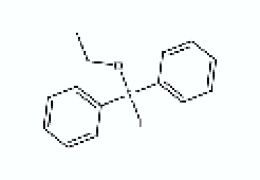 CCO[Si](I)(c1ccccc1)c1ccccc1